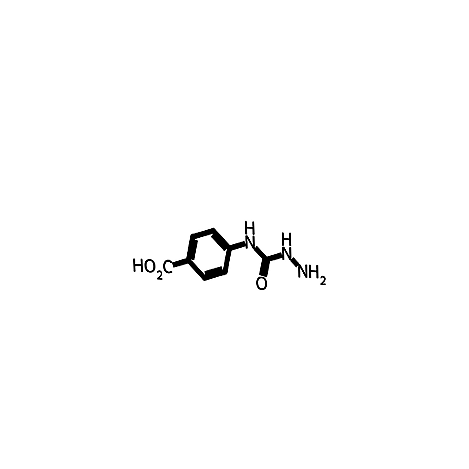 NNC(=O)Nc1ccc(C(=O)O)cc1